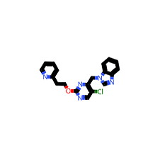 Clc1cnc(OCCc2ccccn2)nc1Cn1cnc2ccccc21